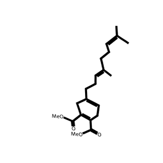 COC(=O)C1=C(C(=O)OC)CC(CC/C=C(\C)CCC=C(C)C)=CC1